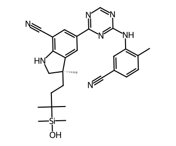 Cc1ccc(C#N)cc1Nc1ncnc(-c2cc(C#N)c3c(c2)[C@@](C)(CCC(C)(C)[Si](C)(C)O)CN3)n1